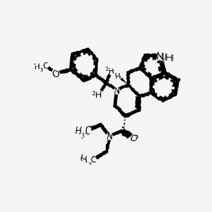 [2H]C([2H])(c1cccc(OC)c1)N1C[C@@H](C(=O)N(CC)CC)C=C2c3cccc4[nH]cc(c34)C[C@H]21